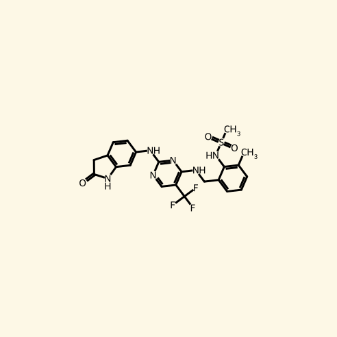 Cc1cccc(CNc2nc(Nc3ccc4c(c3)NC(=O)C4)ncc2C(F)(F)F)c1NS(C)(=O)=O